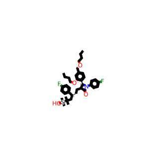 CCCCOCc1ccc([C@@H]2C(CC[C@H](CC(C)(C)[Si](C)(C)O)c3ccc(F)cc3)C(=O)N2c2ccc(F)cc2)c(OCCCC)c1